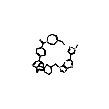 C=C(C1=C\C=C\C=C(c2ccc(C(=O)N3CCC=C(CC)CC3)cc2)/C=N\1)C1CCCC(Cn2nnc3ncc(-c4cnn(C)c4)nc32)C1